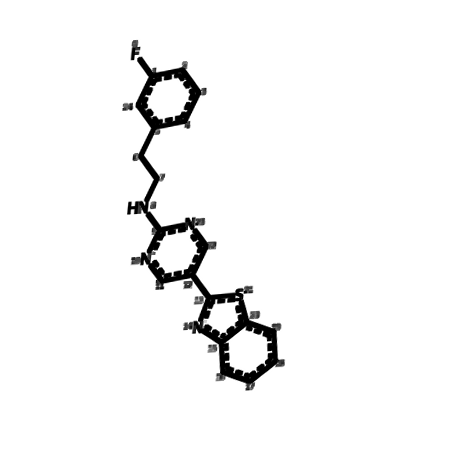 Fc1cccc(CCNc2n[c]c(-c3nc4ccccc4s3)cn2)c1